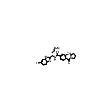 C=C(N[C@@H](CCOC)C1=NC2C=CC(Cl)=CC2N1)c1ccc(C(=O)N2CCCC2)c(C)c1